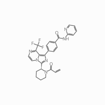 C=CC(=O)N1CCCC[C@H]1c1nc(-c2ccc(C(=O)Nc3ccccn3)cc2)c2c(C(F)(F)F)nccn12